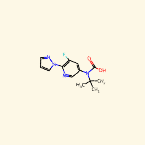 CC(C)(C)N(C(=O)O)c1cnc(-n2cccn2)c(F)c1